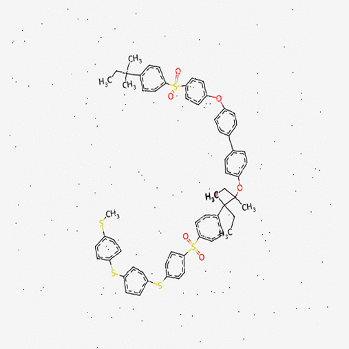 CCC(C)(C)c1ccc(S(=O)(=O)c2ccc(Oc3ccc(-c4ccc(OC(C)(CC)C(C)(CC)c5ccc(S(=O)(=O)c6ccc(Sc7ccc(Sc8ccc(SC)cc8)cc7)cc6)cc5)cc4)cc3)cc2)cc1